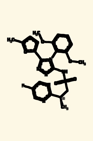 COc1cccc(OC)c1-n1c(NS(=O)(=O)C[C@@H](C)c2ncc(F)cn2)nnc1-c1ccc(C)o1